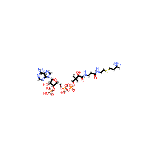 C[C@H](N)CCSCCNC(=O)CCNC(=O)C(O)C(C)(C)COP(=O)(O)OP(=O)(O)OC[C@H]1O[C@@H](n2cnc3c(N)ncnc32)[C@H](O)[C@@H]1OP(=O)(O)O